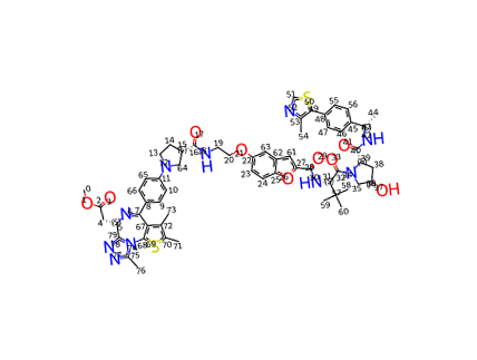 COC(=O)C[C@@H]1N=C(c2ccc(N3CC[C@H](C(=O)NCCOc4ccc5oc(C(=O)N[C@H](C(=O)N6C[C@H](O)C[C@H]6C(=O)N[C@@H](C)c6ccc(-c7scnc7C)cc6)C(C)(C)C)cc5c4)C3)cc2)c2c(sc(C)c2C)-n2c(C)nnc21